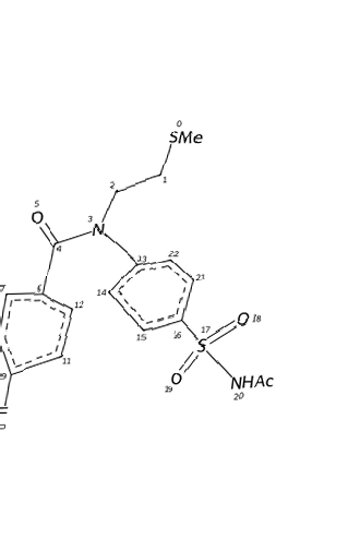 CSCCN(C(=O)c1ccc(F)cc1)c1ccc(S(=O)(=O)NC(C)=O)cc1